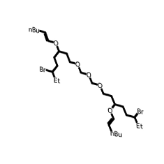 CCCCC=COC(CCOCOCOCCC(CCC(Br)CC)OC=CCCCC)CCC(Br)CC